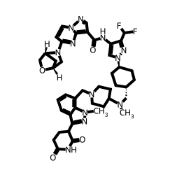 CN(C[C@H]1CC[C@H](n2cc(NC(=O)c3cnn4ccc(N5C[C@H]6C[C@@H]5CO6)nc34)c(C(F)F)n2)CC1)C1CCN(Cc2cccc3c(C4CCC(=O)NC4=O)nn(C)c23)CC1